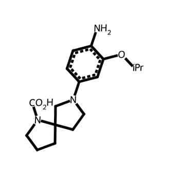 CC(C)Oc1cc(N2CCC3(CCCN3C(=O)O)C2)ccc1N